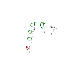 [Br].[Cl-].[Cl-].[Cl-].[Cl-].[Ti+4]